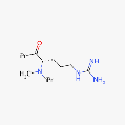 CC(C)C(=O)[C@H](CCCNC(=N)N)N(C)C(C)C